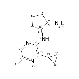 Cc1cnc(N[C@H]2CCC[C@@H]2N)c(C2CC2)n1